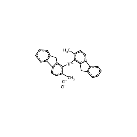 Cc1ccc2c([c]1[Ti+2][c]1c(C)ccc3c1Cc1ccccc1-3)Cc1ccccc1-2.[Cl-].[Cl-]